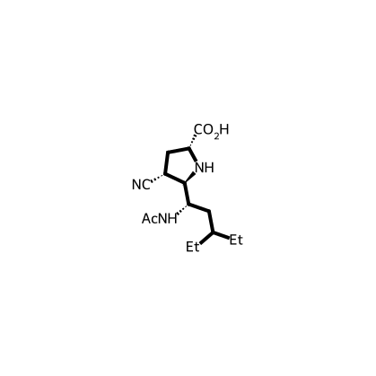 CCC(CC)C[C@H](NC(C)=O)[C@@H]1N[C@@H](C(=O)O)C[C@H]1C#N